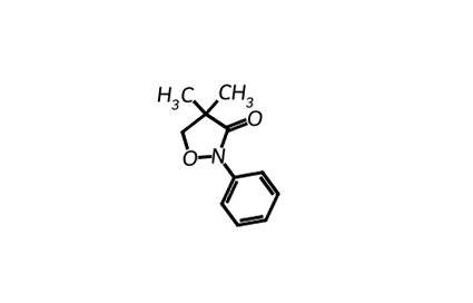 CC1(C)CON(c2ccccc2)C1=O